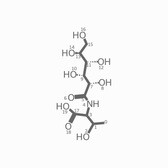 CC(O)C(NC(=O)[C@@H](O)[C@H](O)[C@@H](O)[C@@H](O)CO)C(=O)O